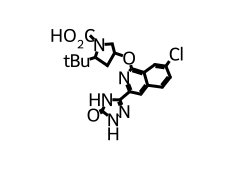 CC(C)(C)C1CC(Oc2nc(-c3n[nH]c(=O)[nH]3)cc3ccc(Cl)cc23)CN1C(=O)O